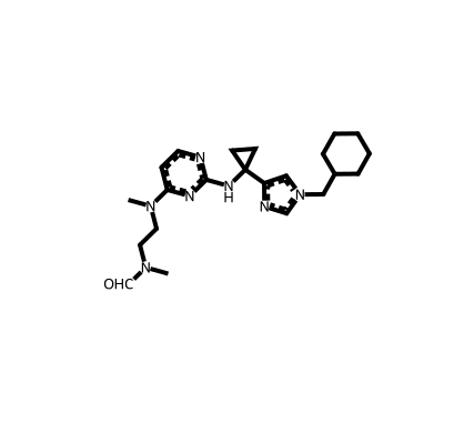 CN(C=O)CCN(C)c1ccnc(NC2(c3cn(CC4CCCCC4)cn3)CC2)n1